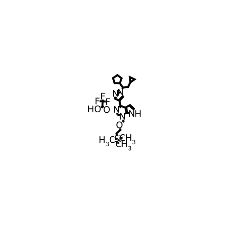 C[Si](C)(C)CCOCN1CN=C(c2cnn(C(CC3CC3)C3CCCC3)c2)c2cc[nH]c21.O=C(O)C(F)(F)F